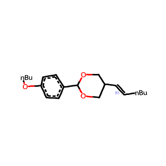 CCCC/C=C/C1COC(c2ccc(OCCCC)cc2)OC1